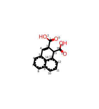 O=C(O)C1=Cc2cccc3cccc(c23)C1C(=O)O